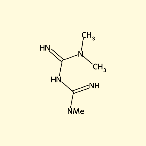 CNC(=N)NC(=N)N(C)C